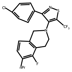 CCCc1ccc2c(c1F)CCN(c1c(-c3ccc(Cl)cc3)nsc1C(F)(F)F)C2